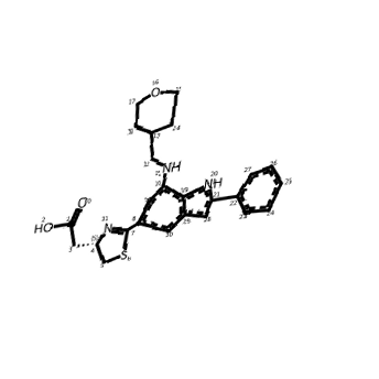 O=C(O)C[C@H]1CSC(c2cc(NCC3CCOCC3)c3[nH]c(-c4ccccc4)cc3c2)=N1